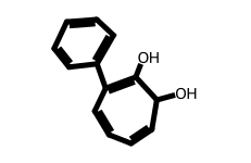 OC1=C(c2ccccc2)C=CC=CC1O